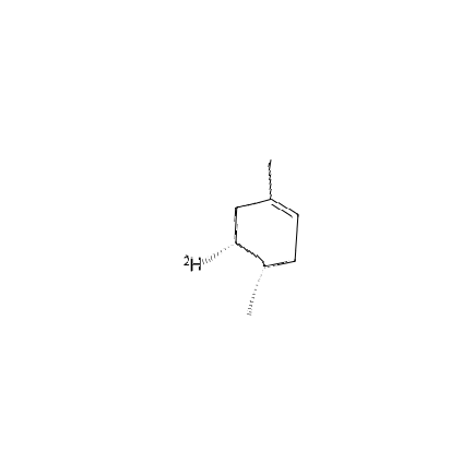 [2H][C@@H]1CC(C)=CC[C@@H]1C